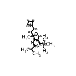 CC(C)c1nc(C(C)(C)C)c2c(n1)C(C)(CCN1CCC1)OC2